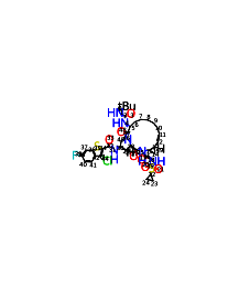 CC(C)(C)NC(=O)N[C@H]1CCCCC/C=C\[C@@H]2C[C@@]2(C(=O)NS(=O)(=O)C2CC2)NC(=O)[C@@H]2C[C@@H](NC(=O)c3sc4cc(F)ccc4c3Cl)CN2C1=O